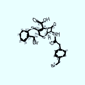 O=C(Cc1ccc(CBr)cc1)N[C@@H]1C(=O)N2C(C(=O)O)=C(Sc3ccccc3CBr)CS[C@H]12